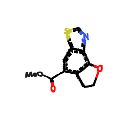 COC(=O)c1cc2scnc2c2c1CCO2